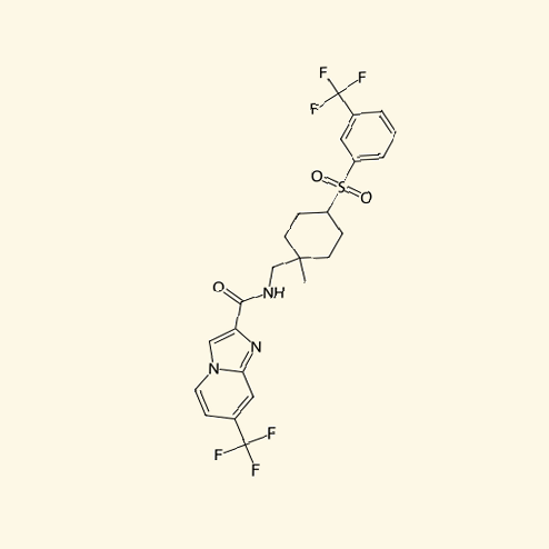 CC1(CNC(=O)c2cn3ccc(C(F)(F)F)cc3n2)CCC(S(=O)(=O)c2cccc(C(F)(F)F)c2)CC1